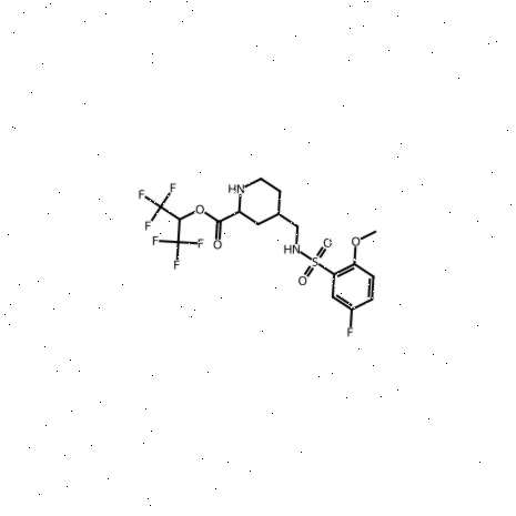 COc1ccc(F)cc1S(=O)(=O)NCC1CCNC(C(=O)OC(C(F)(F)F)C(F)(F)F)C1